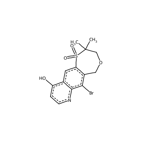 CC1(C)COCc2c(cc3c(O)ccnc3c2Br)S1(=O)=O